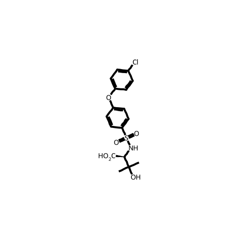 CC(C)(O)[C@H](NS(=O)(=O)c1ccc(Oc2ccc(Cl)cc2)cc1)C(=O)O